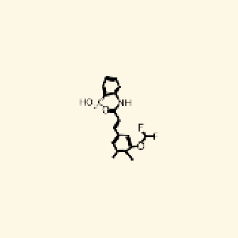 Cc1cc(/C=C/C(=O)Nc2ccccc2C(=O)O)cc(OC(F)F)c1C